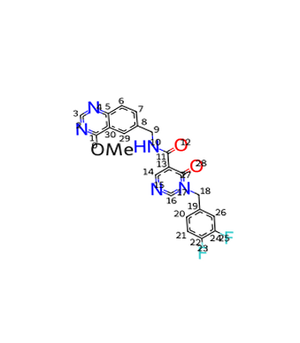 COc1ncnc2ccc(CNC(=O)c3cncn(Cc4ccc(F)c(F)c4)c3=O)cc12